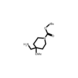 COC1(CN)CCN(C(=O)OC(C)(C)C)CC1